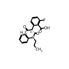 CCCN(C(=O)[C@H](C(C)=O)c1cccc(F)c1C(=O)O)c1ccccc1